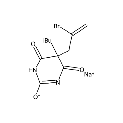 C=C(Br)CC1(C(C)CC)C(=O)N=C([O-])NC1=O.[Na+]